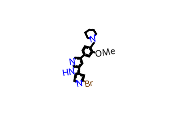 COc1cc(-c2cnc3[nH]c4cnc(Br)cc4c3c2)ccc1CN1CCCCC1